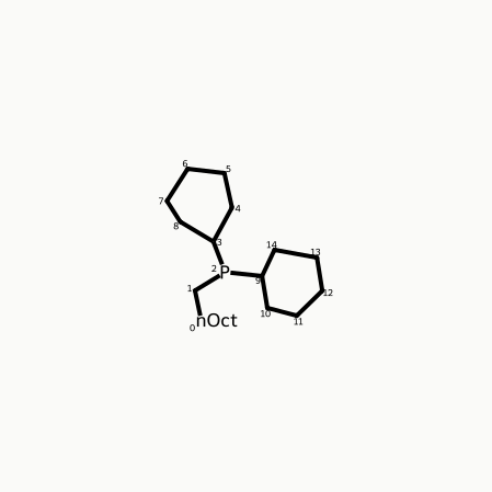 CCCCCCCCCP(C1CCCCC1)C1CCCCC1